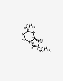 Cc1cn2c(n1)CC(C)CC2